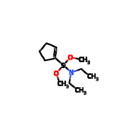 CCN(CC)[Si](OC)(OC)C1=CCCC1